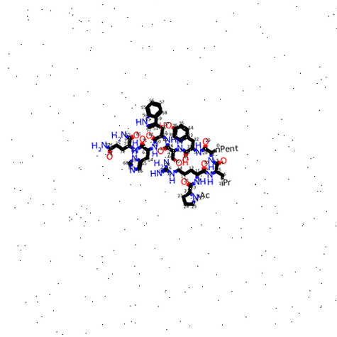 CCCCCC(NC(=O)C(CC(C)C)NC(=O)C(CCCNC(=N)N)NC(=O)C1CCCN1C(C)=O)C(=O)NC(Cc1ccc(O)cc1)C(=O)NC(CO)C(=O)NC(Cc1c[nH]c2ccccc12)C(=O)NC(Cc1cnc[nH]1)C(=O)NC(CCC(N)=O)C(N)=O